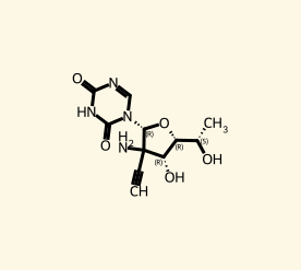 C#CC1(N)[C@@H](O)[C@@H]([C@H](C)O)O[C@H]1n1cnc(=O)[nH]c1=O